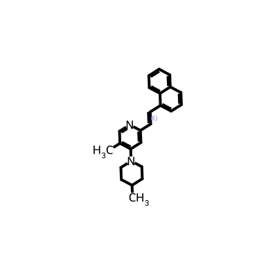 Cc1cnc(/C=C/c2cccc3ccccc23)cc1N1CCC(C)CC1